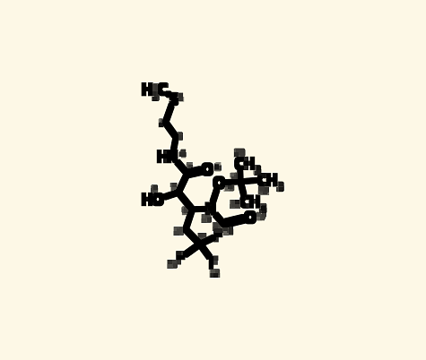 CSCCNC(=O)C(O)C(CC(F)(F)F)N(C=O)OC(C)(C)C